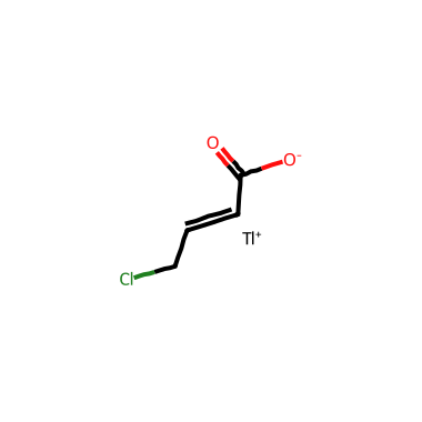 O=C([O-])/C=C/CCl.[Tl+]